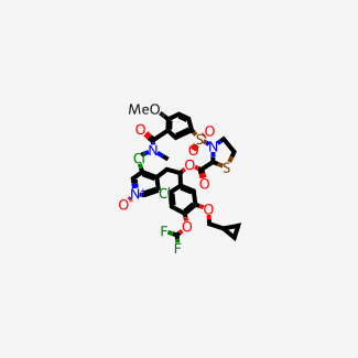 COc1ccc(S(=O)(=O)N2CCSC2C(=O)OC(Cc2c(Cl)c[n+]([O-])cc2Cl)c2ccc(OC(F)F)c(OCC3CC3)c2)cc1C(=O)N(C)C